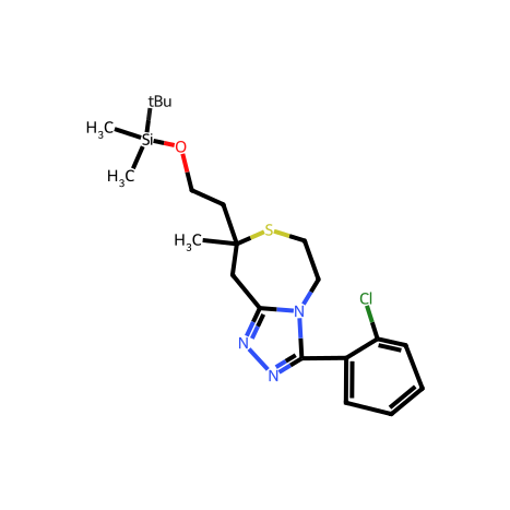 CC1(CCO[Si](C)(C)C(C)(C)C)Cc2nnc(-c3ccccc3Cl)n2CCS1